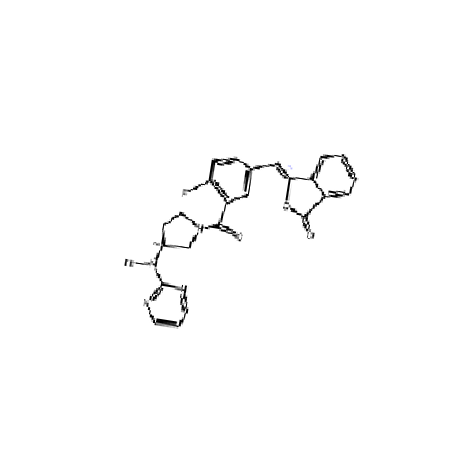 CCN(c1ncccn1)[C@H]1CCN(C(=O)c2cc(/C=C3\OC(=O)c4ccccc43)ccc2F)C1